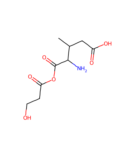 CC(CC(=O)O)C(N)C(=O)OC(=O)CCO